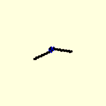 CCCCCCCCCCCCCN1C=CN(CCCCCCCCCCCC)C1